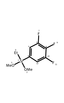 CC[Si](OC)(OC)c1cc(F)c(F)c(F)c1